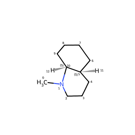 CN1CCC[C@@H]2CCCC[C@@H]21